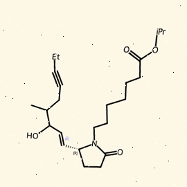 CCC#CCC(C)C(O)/C=C/[C@H]1CCC(=O)N1CCCCCCC(=O)OC(C)C